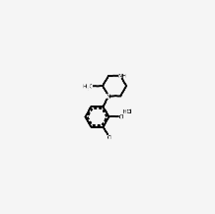 CC1CNCCN1c1cccc(Cl)c1Cl.Cl